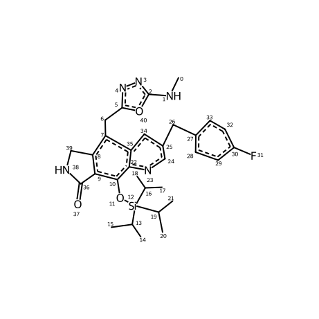 CNc1nnc(Cc2c3c(c(O[Si](C(C)C)(C(C)C)C(C)C)c4ncc(Cc5ccc(F)cc5)cc24)C(=O)NC3)o1